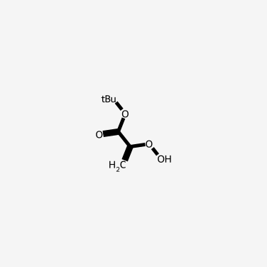 C=C(OO)C(=O)OC(C)(C)C